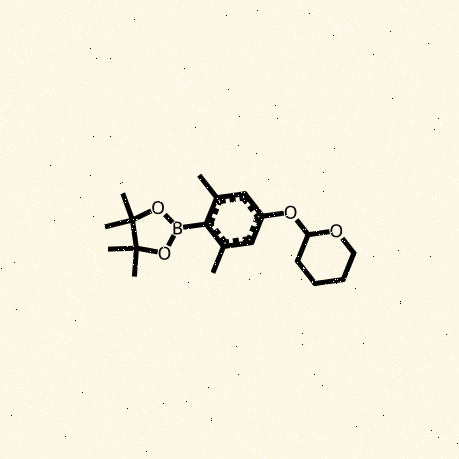 Cc1cc(OC2CCCCO2)cc(C)c1B1OC(C)(C)C(C)(C)O1